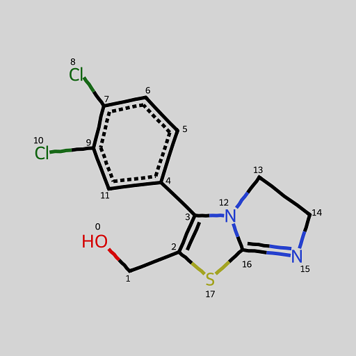 OCC1=C(c2ccc(Cl)c(Cl)c2)N2CCN=C2S1